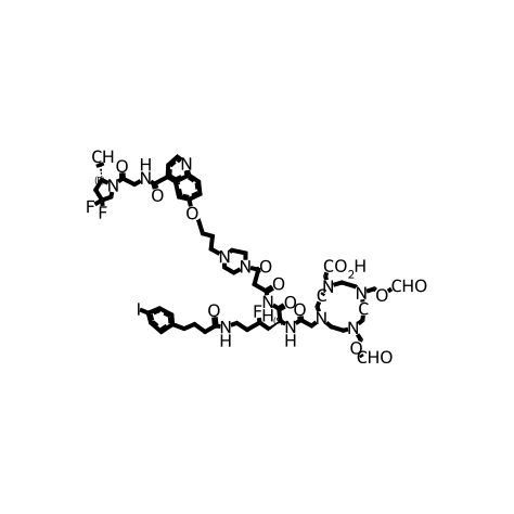 C#C[C@H]1CC(F)(F)CN1C(=O)CNC(=O)c1ccnc2ccc(OCCCCN3CCN(C(=O)CC(=O)NC(=O)[C@H](CC(F)CCNC(=O)CCCc4ccc(I)cc4)NC(=O)CN4CCN(COC=O)CCN(COC=O)CCN(CC(=O)O)CC4)CC3)cc12